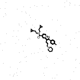 Cc1ccc(-c2nn3ccc(C(=O)N(CCC4CC4)CCC4CC4)cc3c2/C=C/CN2CCCCC2)cc1